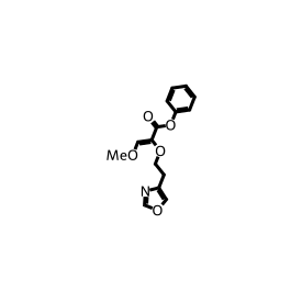 COC=C(OCCc1cocn1)C(=O)Oc1ccccc1